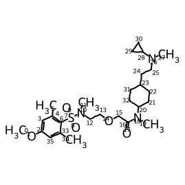 COc1cc(C)c(S(=O)(=O)N(C)CCOCC(=O)N(C)C2CCC(CCN(C)C3CC3)CC2)c(C)c1